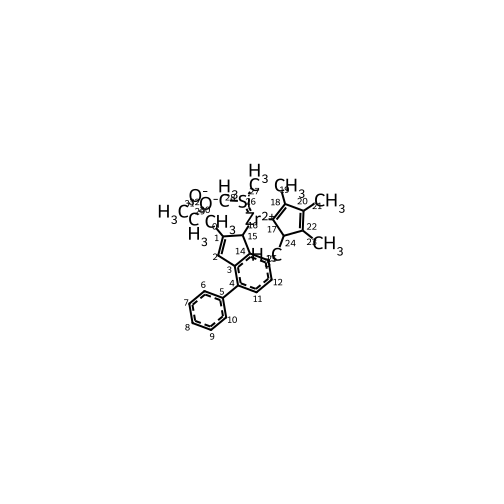 CC1=Cc2c(-c3ccccc3)cccc2[CH]1[Zr+2]([C]1=C(C)C(C)=C(C)C1C)=[Si](C)C.C[O-].C[O-]